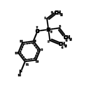 C=C[Si](C=C)(C=C)Oc1ccc(F)cc1